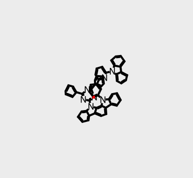 c1ccc(-c2nc(-c3ccccc3)nc(-n3c4ccccc4c4ccc5c6ccccc6n(-c6cccc(-c7cccc(-n8c9ccccc9c9ccccc98)n7)c6)c5c43)n2)cc1